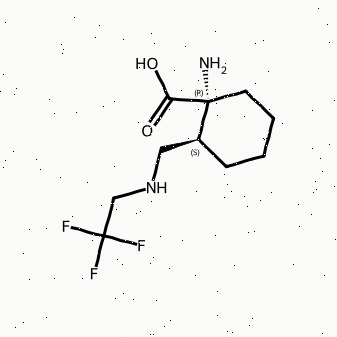 N[C@]1(C(=O)O)CCCC[C@H]1CNCC(F)(F)F